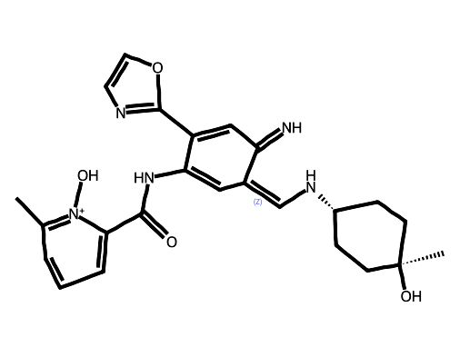 Cc1cccc(C(=O)NC2=C/C(=C/N[C@H]3CC[C@](C)(O)CC3)C(=N)C=C2c2ncco2)[n+]1O